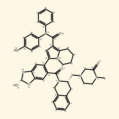 CN1CCN(C[C@@H]2Cc3ccccc3CN2C(=O)c2cc3c(cc2-c2cc(C(=O)N(c4ccccc4)c4ccc(O)cc4)c4n2CCCC4)OCO3)CC1=O.Cl